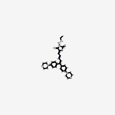 CCOON1C(=O)/C(=C/C=C/C=C(c2ccc(N3CCOCC3)cc2)c2ccc(N3CCOCC3)cc2)SC1=S